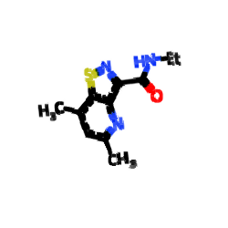 CCNC(=O)c1nsc2c(C)cc(C)nc12